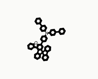 c1ccc(-c2ccc(N(c3ccc(-c4ccccc4)cc3)c3ccc(-c4cc5c(c6c4oc4ccccc46)-c4ccccc4C54c5ccccc5-c5ccccc54)cc3)cc2)cc1